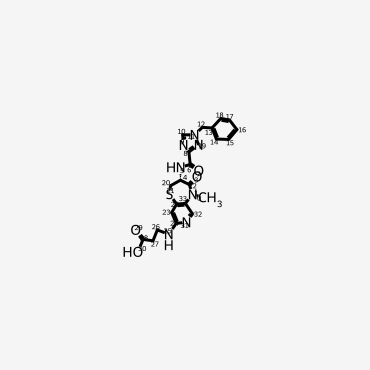 CN1C(=O)[C@@H](NC(=O)c2ncn(Cc3ccccc3)n2)CSc2cc(NCCC(=O)O)ncc21